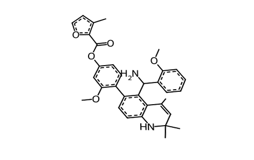 COc1cc(OC(=O)c2occc2C)ccc1-c1ccc2c(c1C(N)c1ccccc1OC)C(C)=CC(C)(C)N2